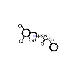 O=C(N/N=C/c1cc(Cl)cc(Cl)c1O)Nc1ccccc1